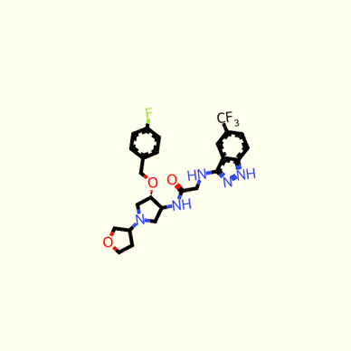 O=C(CNc1n[nH]c2ccc(C(F)(F)F)cc12)NC1CN(C2CCOC2)C[C@@H]1OCc1ccc(F)cc1